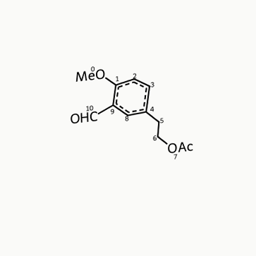 COc1ccc(CCOC(C)=O)cc1C=O